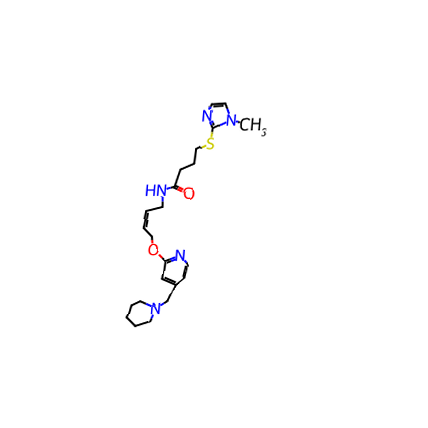 Cn1ccnc1SCCCC(=O)NC/C=C\COc1cc(CN2CCCCC2)ccn1